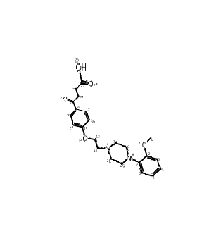 COc1ccccc1N1CCN(CCOc2ccc(C(=O)CCC(=O)O)cc2)CC1